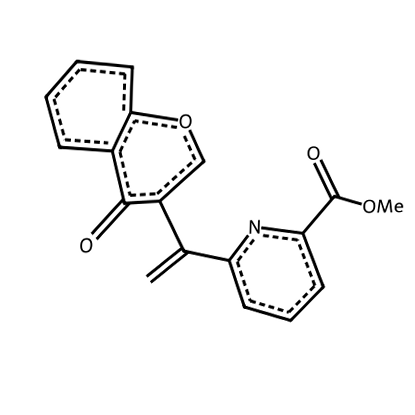 C=C(c1cccc(C(=O)OC)n1)c1coc2ccccc2c1=O